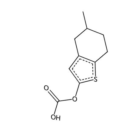 CC1CCc2sc(OC(=O)O)cc2C1